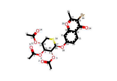 CC(=O)O[C@@H]1[C@@H](OC(C)=O)[C@H](OC(C)=O)CS[C@H]1Oc1ccc2c(=O)c(Br)c(C)oc2c1